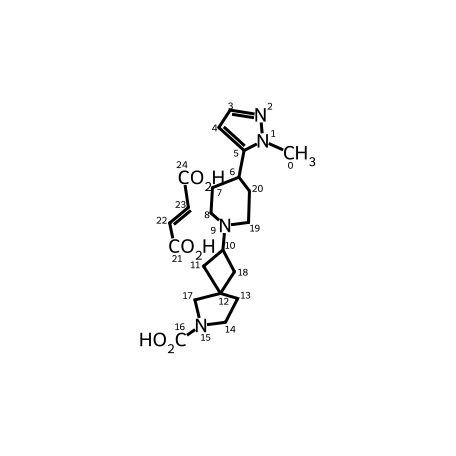 Cn1nccc1C1CCN(C2CC3(CCN(C(=O)O)C3)C2)CC1.O=C(O)/C=C/C(=O)O